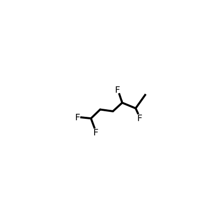 CC(F)[C](F)CCC(F)F